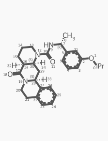 CC(C)Oc1cccc([C@@H](C)NC(=O)N2CCC[C@@H]3C(=O)N4CCc5ccccc5[C@@H]4C[C@@H]32)c1